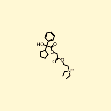 CC[N+](C)(CC)CCOC(=O)COC(=O)C(O)(c1ccccc1)C1CCCC1